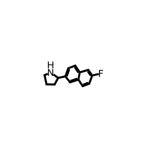 Fc1ccc2cc(C3CCCN3)ccc2c1